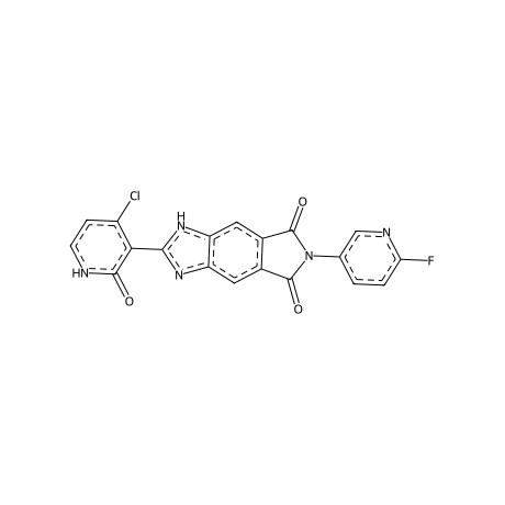 O=C1c2cc3nc(-c4c(Cl)cc[nH]c4=O)[nH]c3cc2C(=O)N1c1ccc(F)nc1